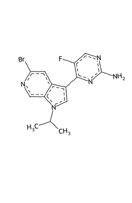 CC(C)n1cc(-c2nc(N)ncc2F)c2cc(Br)ncc21